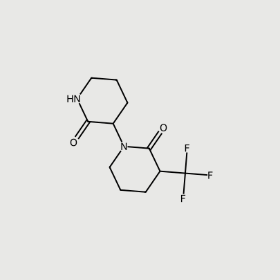 O=C1NCCCC1N1CCCC(C(F)(F)F)C1=O